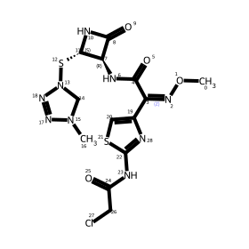 CO/N=C(\C(=O)N[C@@H]1C(=O)N[C@H]1SN1CN(C)N=N1)c1csc(NC(=O)CCl)n1